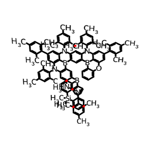 Cc1cc(C)c(-c2cc3c4c(c2)N2c5ccccc5[Si](C)(C)c5cccc(c52)B4c2cc4c(cc2N3)N(c2c(C)cc(C)cc2C)c2cc(-c3c(C)cc(C)cc3C)cc3c2B4c2cc4c(cc2N3c2c(C)cc(C)cc2C)N(c2c(C)cc(C)cc2C)c2cc(-c3c(C)cc(C)cc3C)cc3c2B4c2ccccc2O3)c(C)c1